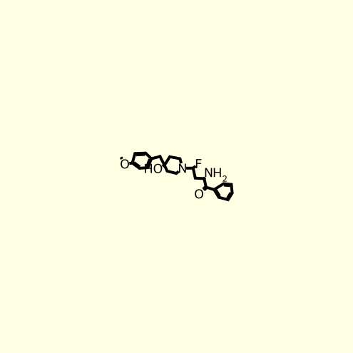 COc1ccc(CC2(O)CCN(C(F)CC(N)C(=O)c3ccccc3)CC2)cc1